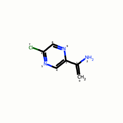 C=C(N)c1cnc(Cl)cn1